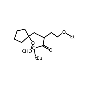 CCOCCC(CC1(OC=O)CCCC1)C(=O)OC(C)(C)C